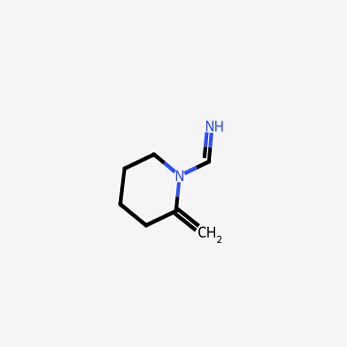 C=C1CCCCN1C=N